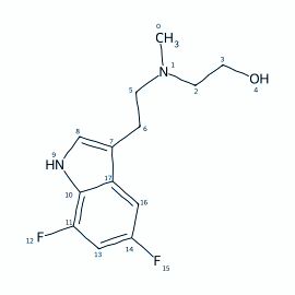 CN(CCO)CCc1c[nH]c2c(F)cc(F)cc12